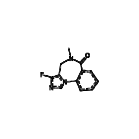 CN1Cc2c(F)ncn2-c2ccccc2C1=O